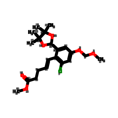 COCOc1cc(Cl)c(/C=C/CCC(=O)OC)c(B2OC(C)(C)C(C)(C)O2)c1